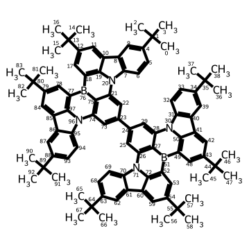 CC(C)(C)c1ccc2c(c1)c1cc(C(C)(C)C)cc3c1n2-c1cc(-c2cc4c5c(c2)-n2c6ccc(C(C)(C)C)cc6c6cc(C(C)(C)C)cc(c62)B5c2cc(C(C)(C)C)cc5c6cc(C(C)(C)C)ccc6n-4c25)cc2c1B3c1cc(C(C)(C)C)cc3c4cc(C(C)(C)C)ccc4n-2c13